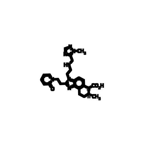 C[C@H]1CCc2c(ccc3c2nc(CCn2ccccc2=O)n3CCNCc2ncnn2C)N1C(=O)O